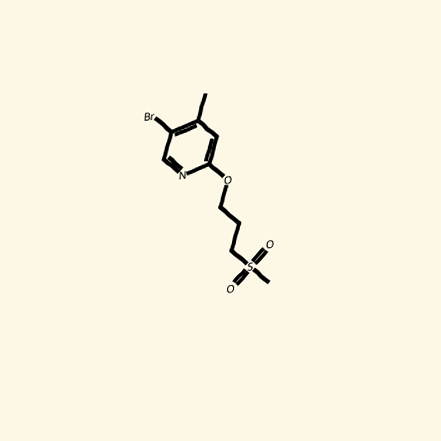 Cc1cc(OCCCS(C)(=O)=O)ncc1Br